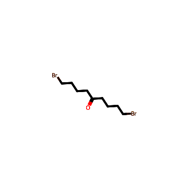 O=C(CCCCBr)CCCCBr